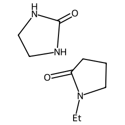 CCN1CCCC1=O.O=C1NCCN1